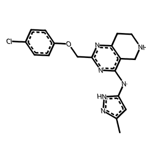 Cc1cc([N]c2nc(COc3ccc(Cl)cc3)nc3c2CNCC3)[nH]n1